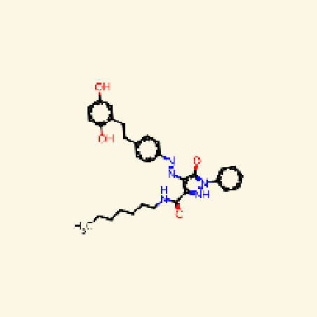 CCCCCCCNC(=O)c1[nH]n(-c2ccccc2)c(=O)c1N=Nc1ccc(CCc2cc(O)ccc2O)cc1